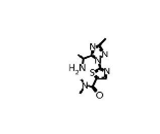 Cc1nc(C(C)N)n(-c2ncc(C(=O)N(C)C)s2)n1